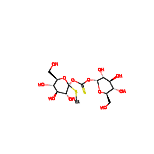 CCS[C@]1(OC(=S)O[C@H]2O[C@H](CO)[C@@H](O)[C@H](O)[C@H]2O)O[C@H](CO)[C@@H](O)[C@H](O)[C@H]1O